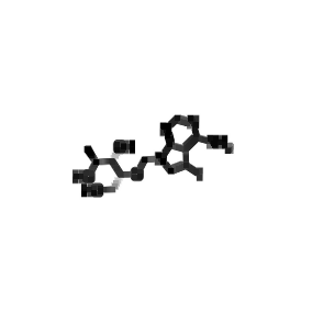 C[C@H](O)[C@H](O)[C@@H](CO)OCn1cc(I)c2c(N)ncnc21